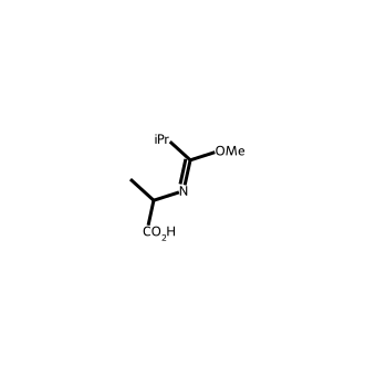 COC(=NC(C)C(=O)O)C(C)C